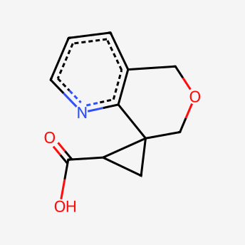 O=C(O)C1CC12COCc1cccnc12